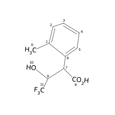 Cc1ccccc1C(C(=O)O)C(O)C(F)(F)F